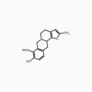 COc1c(O)ccc2c1CN1CCc3cc(C)oc3C1C2